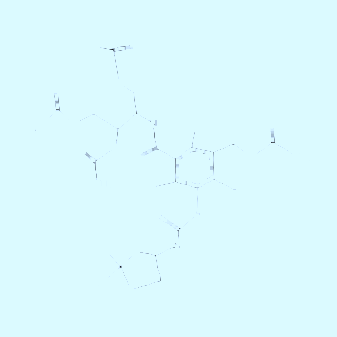 CC(=O)OCc1c(I)c(NC(=O)NC2COC(C)(C)O2)c(I)c(C(=O)NC(COC(C)=O)C(COC(C)=O)OC(C)=O)c1I